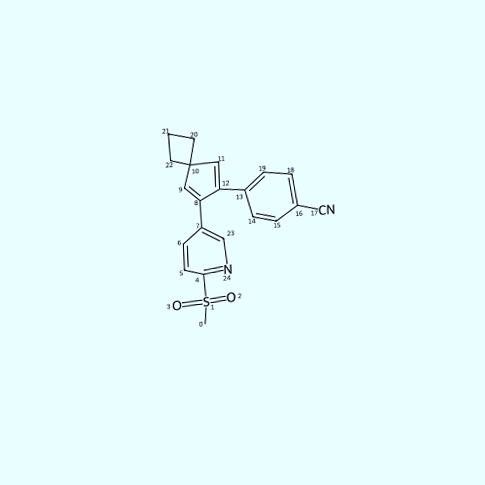 CS(=O)(=O)c1ccc(C2=CC3(C=C2c2ccc(C#N)cc2)CCC3)cn1